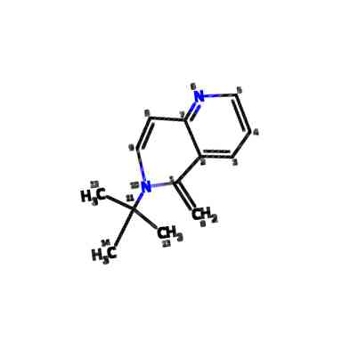 C=C1c2cccnc2C=CN1C(C)(C)C